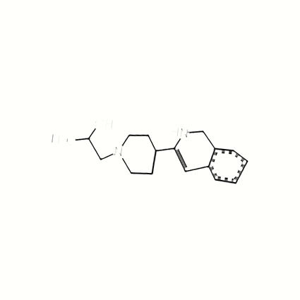 CC(O)CN1CCC(C2=Cc3ccccc3CN2)CC1